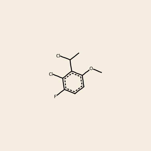 COc1ccc(F)c(Cl)c1C(C)Cl